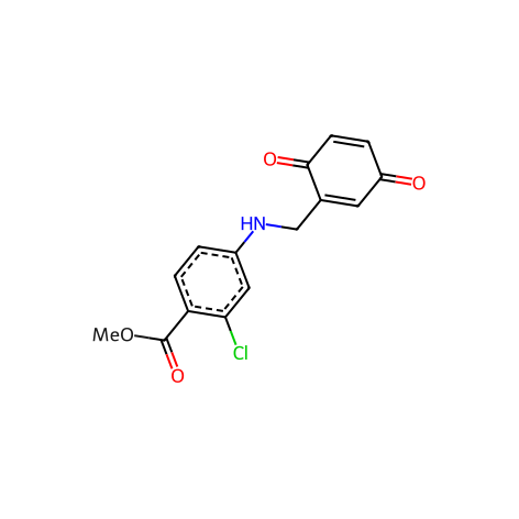 COC(=O)c1ccc(NCC2=CC(=O)C=CC2=O)cc1Cl